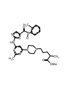 COC(=O)C(C)CCCN1CCN(c2cc(Nc3ncc(C(=O)N(Cl)c4ccccc4C)s3)nc(C)n2)CC1